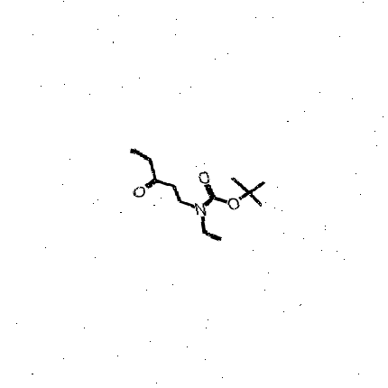 CCC(=O)CCN(CC)C(=O)OC(C)(C)C